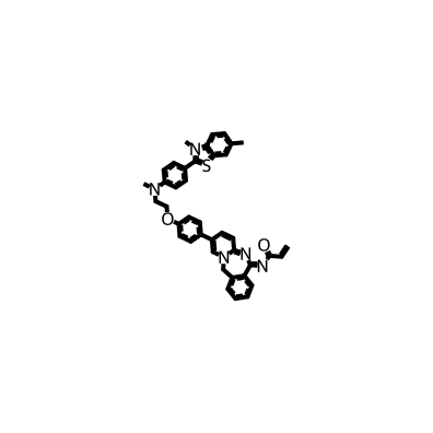 C=CC(=O)/N=C1\N=C2C=CC(c3ccc(OCCN(C)c4ccc(-c5sc6cc(C)ccc6[n+]5C)cc4)cc3)=CN2Cc2ccccc21